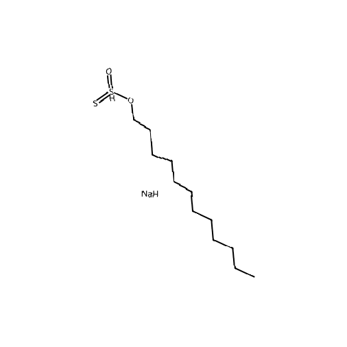 CCCCCCCCCCCCO[SH](=O)=S.[NaH]